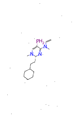 C=CN(C)C1=NC(CCC2CCCCC2)N(C)C=C1P